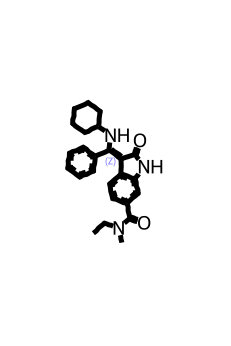 CCN(C)C(=O)c1ccc2c(c1)NC(=O)/C2=C(\NC1CCCCC1)c1ccccc1